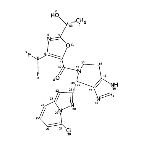 C[C@@H](O)c1nc(C(F)F)c(C(=O)N2CCc3[nH]cnc3[C@@H]2c2cc3cccc(Cl)n3n2)o1